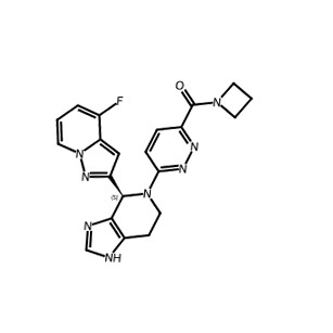 O=C(c1ccc(N2CCc3[nH]cnc3[C@H]2c2cc3c(F)cccn3n2)nn1)N1CCC1